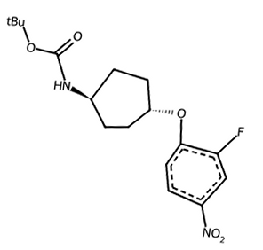 CC(C)(C)OC(=O)N[C@H]1CC[C@H](Oc2ccc([N+](=O)[O-])cc2F)CC1